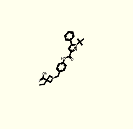 CCC1(C(=O)O)CN(Cc2ccc(NC(=O)c3cc(-c4ccccc4)n(C(C)(C)C)n3)cc2)C1